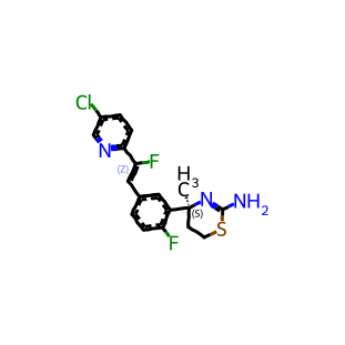 C[C@@]1(c2cc(/C=C(\F)c3ccc(Cl)cn3)ccc2F)CCSC(N)=N1